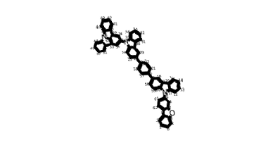 c1ccc2c(c1)oc1cc(-n3c4ccccc4c4cc(-c5ccc(-c6ccc7c(c6)c6ccccc6n7-c6cc7c8ccccc8n8c9ccccc9c(c6)c78)cc5)ccc43)ccc12